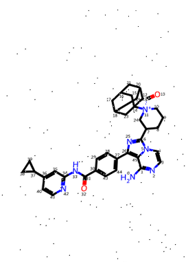 Nc1nccn2c(C3CCC[N@+](C=O)(C45CC6CC(CC(C6)C4)C5)C3)nc(-c3ccc(C(=O)Nc4cc(C5CC5)ccn4)cc3)c12